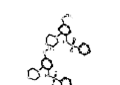 COc1ccc(NS(=O)(=O)c2ccccc2)c(N2CCOCC2)c1.COc1ccc(NS(=O)(=O)c2ccccc2)c(N2CCOCC2)c1